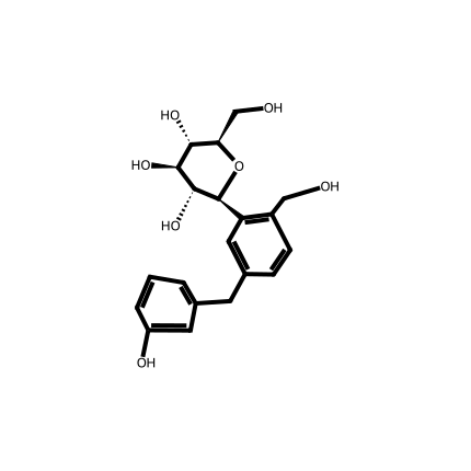 OCc1ccc(Cc2cccc(O)c2)cc1[C@@H]1O[C@H](CO)[C@@H](O)[C@H](O)[C@H]1O